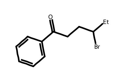 CCC(Br)CCC(=O)c1ccccc1